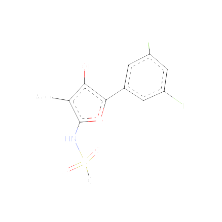 CC(=O)Oc1c(NS(C)(=O)=O)oc(-c2cc(F)cc(F)c2)c1O